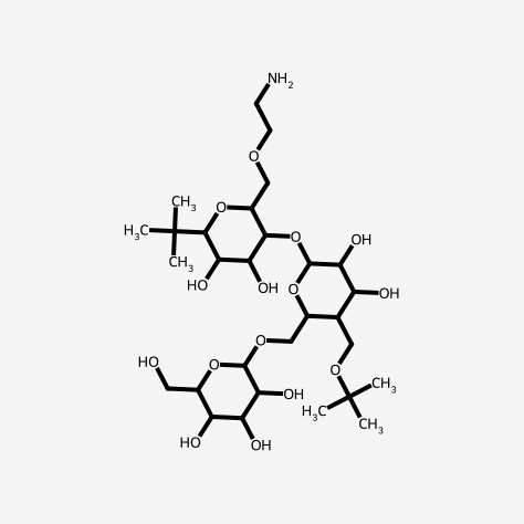 CC(C)(C)OCC1C(COC2OC(CO)C(O)C(O)C2O)OC(OC2C(COCCN)OC(C(C)(C)C)C(O)C2O)C(O)C1O